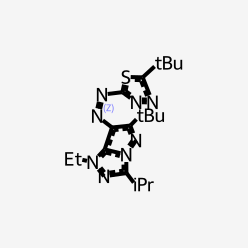 CCn1nc(C(C)C)n2nc(C(C)(C)C)c(/N=N\c3nnc(C(C)(C)C)s3)c12